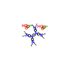 CCCCN(CCCC)c1ccc(N(c2ccc(N(CCCC)CCCC)cc2)c2ccc(N(c3ccc(N(CCCC)CCCC)cc3)c3ccc(N(CCCC)CCCC)cc3)cc2)cc1.[O-][Cl+2]([O-])O.[O-][Cl+2]([O-])O